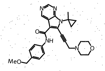 COCc1ccc(NC(=O)c2c(C#CCN3CCOCC3)n(C3(C)CC3)c3ncncc23)cc1